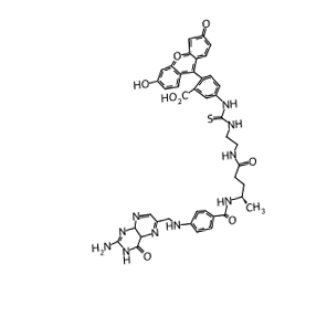 C[C@H](CCC(=O)NCCNC(=S)Nc1ccc(-c2c3ccc(=O)cc-3oc3cc(O)ccc23)c(C(=O)O)c1)NC(=O)c1ccc(NCC2=NC3C(=O)NC(N)=NC3N=C2)cc1